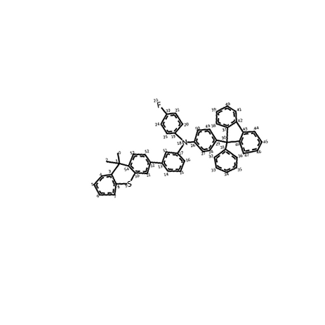 CC1(C)c2ccccc2Sc2cc(-c3cccc(N(c4ccc(F)cc4)c4ccc(C5(c6ccccc6)c6ccccc6-c6ccccc65)cc4)c3)ccc21